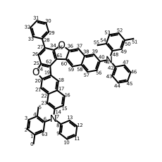 Cc1ccc(C)c(N(c2ccccc2)c2ccc3cc4c(cc3c2)oc2cc(-c3ccccc3)c3oc5cc6cc(N(c7ccccc7)c7cc(C)ccc7C)ccc6cc5c3c24)c1